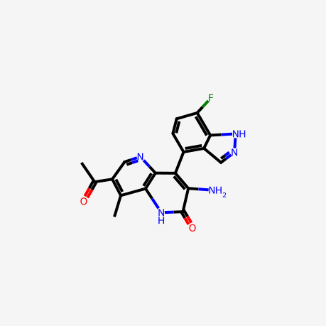 CC(=O)c1cnc2c(-c3ccc(F)c4[nH]ncc34)c(N)c(=O)[nH]c2c1C